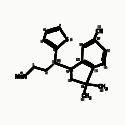 CNCC[C@H](c1cccs1)N1CC(C)(C)c2ncc(C#N)cc21